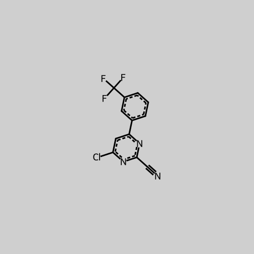 N#Cc1nc(Cl)cc(-c2cccc(C(F)(F)F)c2)n1